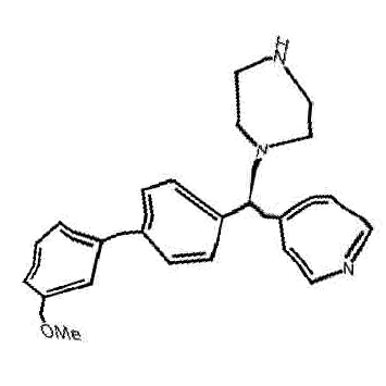 COc1cccc(-c2ccc([C@H](c3ccncc3)N3CCNCC3)cc2)c1